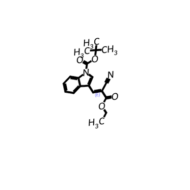 CCOC(=O)/C(C#N)=C/c1cn(C(=O)OC(C)(C)C)c2ccccc12